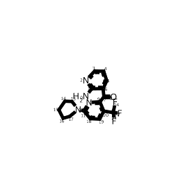 Nc1ncccc1C(=O)c1nc(N2CCCCC2)ccc1C(F)(F)F